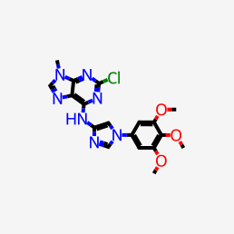 COc1cc(-n2cnc(Nc3nc(Cl)nc4c3ncn4C)c2)cc(OC)c1OC